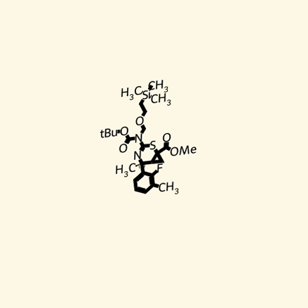 COC(=O)C12CC1[C@@](C)(c1cccc(C)c1F)N=C(N(COCC[Si](C)(C)C)C(=O)OC(C)(C)C)S2